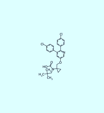 CC(C)(C)CN(C(=O)O)C1(COc2cnc(-c3ccc(Cl)cc3)c(-c3ccc(Cl)cc3)c2)CC1